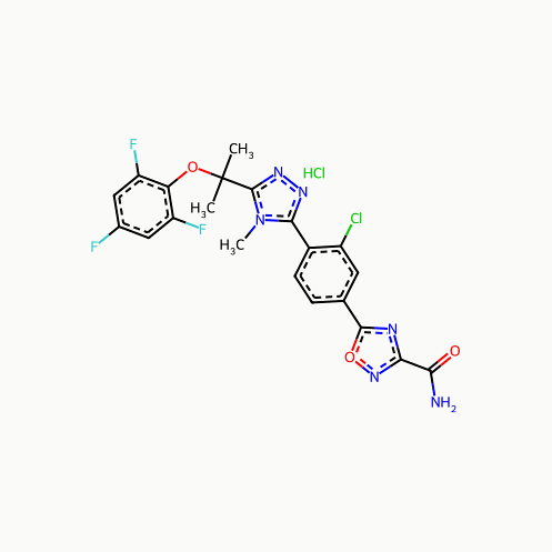 Cl.Cn1c(-c2ccc(-c3nc(C(N)=O)no3)cc2Cl)nnc1C(C)(C)Oc1c(F)cc(F)cc1F